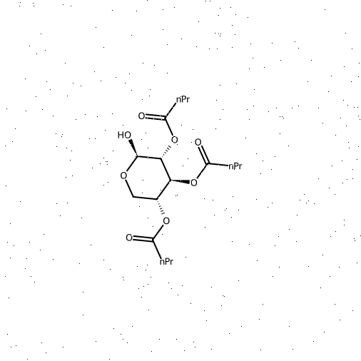 CCCC(=O)O[C@@H]1[C@@H](OC(=O)CCC)[C@H](OC(=O)CCC)CO[C@H]1O